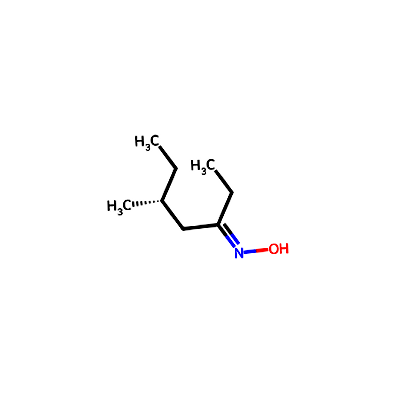 CC/C(C[C@H](C)CC)=N\O